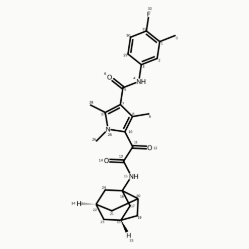 Cc1cc(NC(=O)c2c(C)c(C(=O)C(=O)NC34C[C@@H]5CC3C[C@@H](C5)C4)n(C)c2C)ccc1F